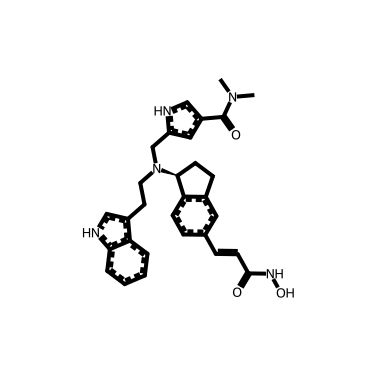 CN(C)C(=O)c1c[nH]c(CN(CCc2c[nH]c3ccccc23)[C@H]2CCc3cc(C=CC(=O)NO)ccc32)c1